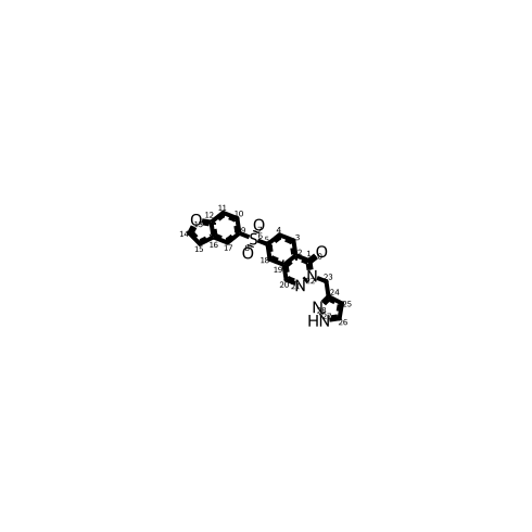 O=c1c2ccc(S(=O)(=O)c3ccc4occc4c3)cc2cnn1Cc1cc[nH]n1